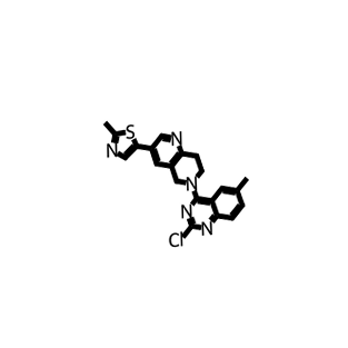 Cc1ccc2nc(Cl)nc(N3CCc4ncc(-c5cnc(C)s5)cc4C3)c2c1